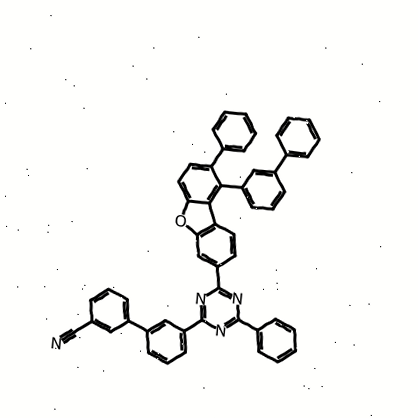 N#Cc1cccc(-c2cccc(-c3nc(-c4ccccc4)nc(-c4ccc5c(c4)oc4ccc(-c6ccccc6)c(-c6cccc(-c7ccccc7)c6)c45)n3)c2)c1